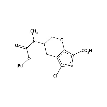 CN(C(=O)OC(C)(C)C)C1COc2c(C(=O)O)sc(Cl)c2C1